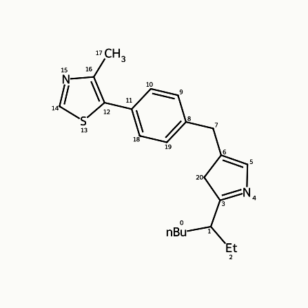 CCCCC(CC)C1=NC=C(Cc2ccc(-c3scnc3C)cc2)C1